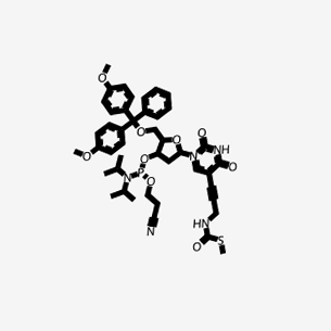 COc1ccc(C(OCC2OC(n3cc(C#CCNC(=O)SC)c(=O)[nH]c3=O)CC2OP(OCCC#N)N(C(C)C)C(C)C)(c2ccccc2)c2ccc(OC)cc2)cc1